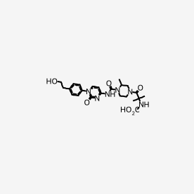 CC1CN(C(=O)C(C)(C)NC(=O)O)CCN1C(=O)Nc1ccn(-c2ccc(CCO)cc2)c(=O)n1